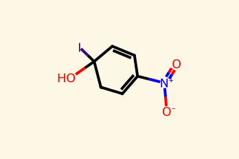 O=[N+]([O-])C1=CCC(O)(I)C=C1